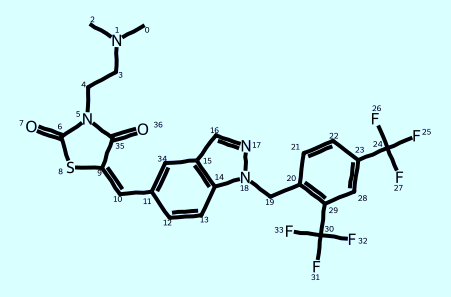 CN(C)CCN1C(=O)SC(=Cc2ccc3c(cnn3Cc3ccc(C(F)(F)F)cc3C(F)(F)F)c2)C1=O